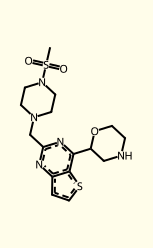 CS(=O)(=O)N1CCN(Cc2nc(C3CNCCO3)c3sccc3n2)CC1